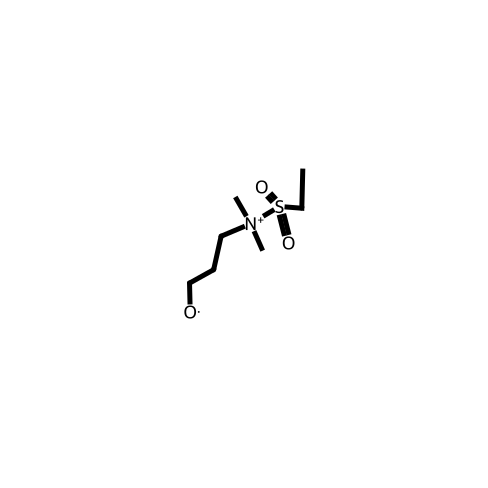 CCS(=O)(=O)[N+](C)(C)CCC[O]